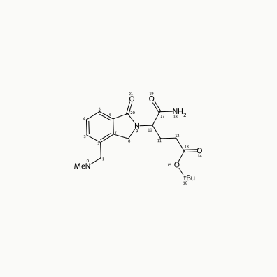 CNCc1cccc2c1CN(C(CCC(=O)OC(C)(C)C)C(N)=O)C2=O